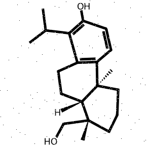 CC(C)c1c(O)ccc2c1CC[C@H]1[C@@](C)(CO)CCC[C@]21C